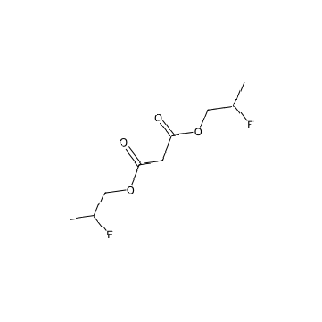 CC(F)COC(=O)CC(=O)OCC(C)F